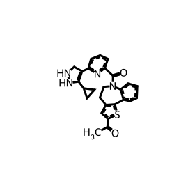 CC(=O)c1cc2c(s1)-c1ccccc1N(C(=O)c1cccc(C3=C(C4CC4)NNC3)n1)CC2